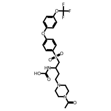 CC(=O)N1CCN(CCC(CS(=O)(=O)c2ccc(Oc3ccc(OC(F)(F)F)cc3)cc2)NC(=O)O)CC1